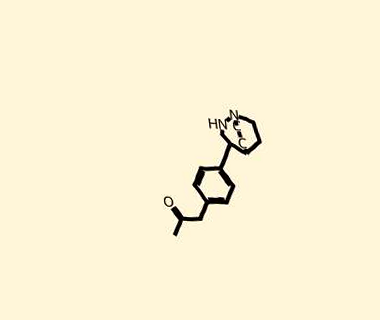 CC(=O)Cc1ccc(C2CNN3CCC2CC3)cc1